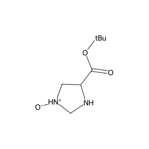 CC(C)(C)OC(=O)C1C[NH+]([O-])CN1